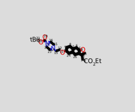 CCOC(=O)Cc1coc2cc3ccc(OCCN4CCN(C(=O)OC(C)(C)C)CC4)cc3cc12